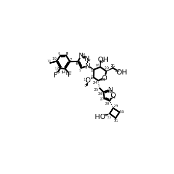 CO[C@@H]1[C@@H](n2cc(-c3ccc(C)c(F)c3F)nn2)[C@@H](O)[C@@H](CO)O[C@@H]1Cc1cc([C@@H]2CC[C@H]2O)on1